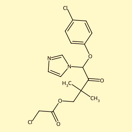 CC(C)(COC(=O)CCl)C(=O)C(Oc1ccc(Cl)cc1)n1ccnc1